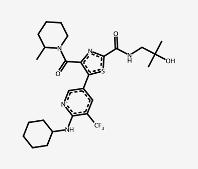 CC1CCCCN1C(=O)c1nc(C(=O)NCC(C)(C)O)sc1-c1cnc(NC2CCCCC2)c(C(F)(F)F)c1